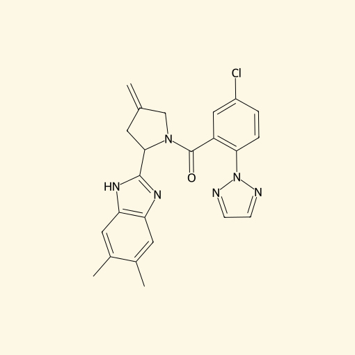 C=C1CC(c2nc3cc(C)c(C)cc3[nH]2)N(C(=O)c2cc(Cl)ccc2-n2nccn2)C1